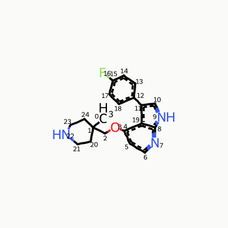 CC1(COc2ccnc3[nH]cc(-c4ccc(F)cc4)c23)CCNCC1